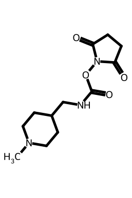 CN1CCC(CNC(=O)ON2C(=O)CCC2=O)CC1